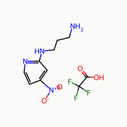 NCCCNc1cc([N+](=O)[O-])ccn1.O=C(O)C(F)(F)F